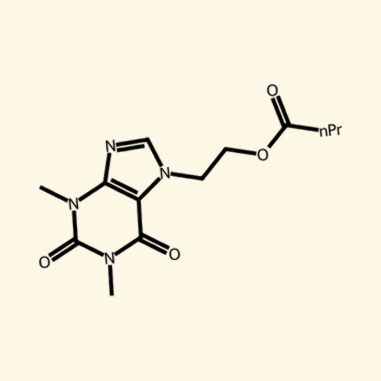 CCCC(=O)OCCn1cnc2c1c(=O)n(C)c(=O)n2C